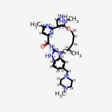 CN/C1=C(\C=N)c2nc(C)cc(n2)C(=O)/N=C2\Nc3ccc(CN4CCN(C)CC4)cc3N2C[C@H](C)CCCO1